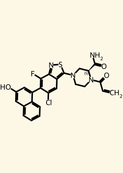 C=CC(=O)N1CCN(c2snc3c(F)c(-c4cc(O)cc5ccccc45)c(Cl)cc23)C[C@H]1C(N)=O